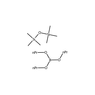 CCCOB(OCCC)OCCC.C[Si](C)(C)O[Si](C)(C)C